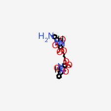 COc1cc2c(cc1OCCCCCOc1cc3c(cc1OC)C(=O)N1Cc4cc(N)ccc4C[C@H]1C(=O)N3C)N(C)C(=O)[C@@H]1Cc3ccccc3CN1C2=O